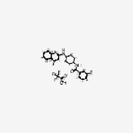 Cc1cc(NC2CCC(NC(=O)c3cccc(F)c3)CC2)nc2ccccc12.O=C(O)C(F)(F)F